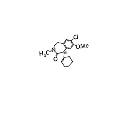 COc1cc2c(cc1Cl)CCN(C)C(=O)[C@H]2C1=CCCCC1